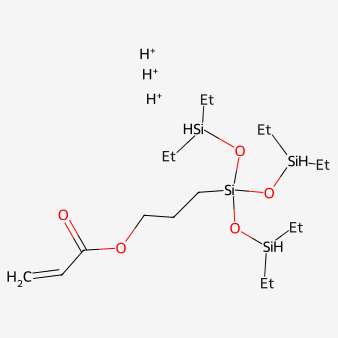 C=CC(=O)OCCC[Si](O[SiH](CC)CC)(O[SiH](CC)CC)O[SiH](CC)CC.[H+].[H+].[H+]